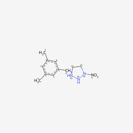 Cc1cc(C)cc(C)c1.O=[N+]([O-])N1CCNN1